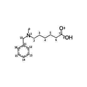 CN(CCCCCC(=O)O)Cc1ccccc1